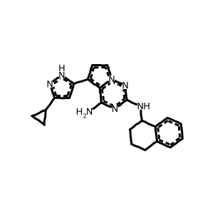 Nc1nc(NC2CCCc3ccccc32)nn2ccc(-c3cc(C4CC4)n[nH]3)c12